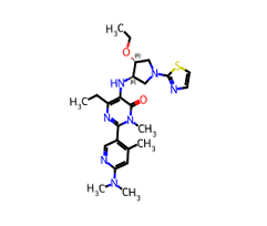 CCO[C@@H]1CN(c2nccs2)C[C@H]1Nc1c(CC)nc(-c2cnc(N(C)C)cc2C)n(C)c1=O